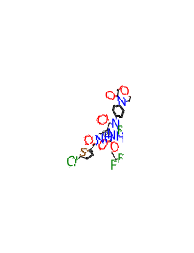 O=C(N[C@@H](CNC(=O)c1ccc(Cl)s1)C(=O)N(F)c1ccc(N2CCOCC2=O)cc1)OCC(F)F